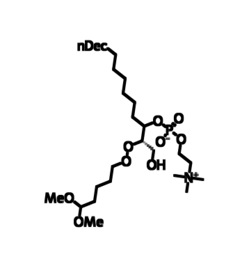 CCCCCCCCCCCCCCCCC(OP(=O)([O-])OCC[N+](C)(C)C)[C@H](CO)OOCCCCC(OC)OC